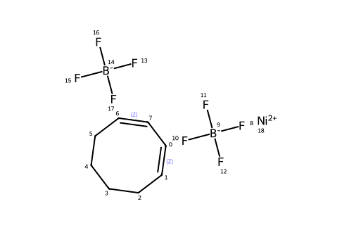 C1=C\CCCC\C=C/1.F[B-](F)(F)F.F[B-](F)(F)F.[Ni+2]